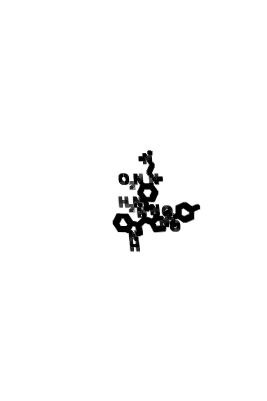 Cc1ccc(S(=O)(=O)n2ccc3c(-c4c[nH]c5ccccc45)nc(C4(N)C=CC(N(C)CCN(C)C)=C([N+](=O)[O-])C4)nc32)cc1